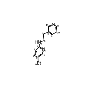 CCc1ccc(NCCc2cccnc2)nc1